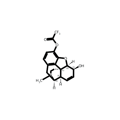 CN1CC[C@]23c4c5ccc(OC(=O)C(F)(F)F)c4O[C@H]2[C@@H](O)C=C[C@H]3[C@H]1C5